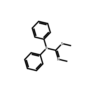 C/N=C(\SC)P(c1ccccc1)c1ccccc1